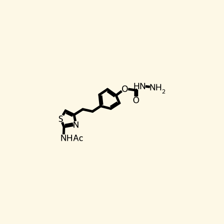 CC(=O)Nc1nc(CCc2ccc(OC(=O)NN)cc2)cs1